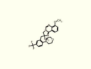 COc1cccc2c1N=CN1CC(N)(Cc3cc(C(F)(F)F)ccc3N3CCOCC3)N=C21